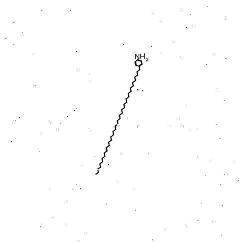 CCCCCCCCCCCCCCCCCCCCCCCCCCCCCCCCCCCCCCCCc1ccc(N)cc1